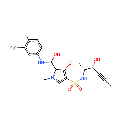 CC#C[C@@H](O)[C@H]1COc2c(cn(C)c2C(O)Nc2ccc(F)c(C(F)(F)F)c2)S(=O)(=O)N1